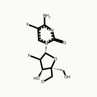 Nc1nc(=O)n([C@@H]2O[C@@](CO)(CCl)[C@@H](O)C2F)cc1F